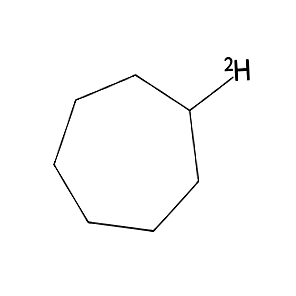 [2H]C1CCCCCC1